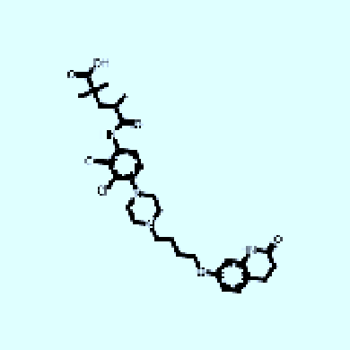 CC(CC(C)(C)C(=O)O)C(=O)Nc1ccc(N2CCN(CCCCOc3ccc4c(c3)NC(=O)CC4)CC2)c(Cl)c1Cl